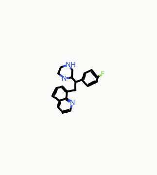 Fc1ccc(C(Cc2cccc3cccnc23)C2CNCC[N]2)cc1